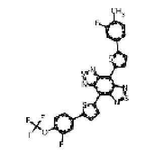 Cc1ccc(-c2ccc(-c3c4c(c(-c5ccc(-c6ccc(OC(F)(F)F)c(F)c6)s5)c5nsnc35)N=S=N4)s2)cc1F